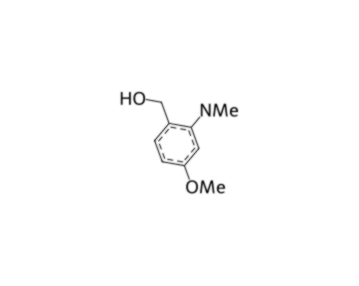 CNc1cc(OC)ccc1CO